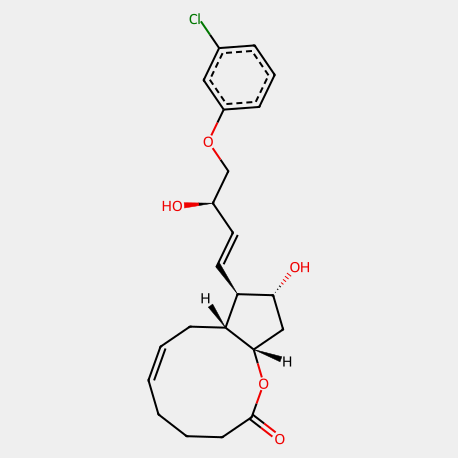 O=C1CCC/C=C\C[C@@H]2[C@@H](/C=C/[C@@H](O)COc3cccc(Cl)c3)[C@H](O)C[C@@H]2O1